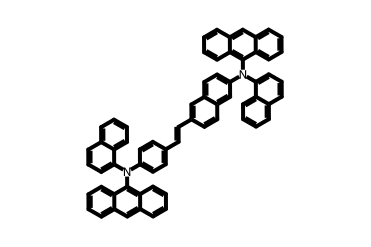 C(=C\c1ccc2cc(N(c3cccc4ccccc34)c3c4ccccc4cc4ccccc34)ccc2c1)/c1ccc(N(c2cccc3ccccc23)c2c3ccccc3cc3ccccc23)cc1